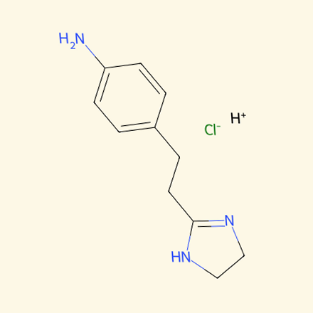 Nc1ccc(CCC2=NCCN2)cc1.[Cl-].[H+]